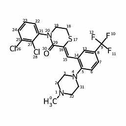 CN1CCN(c2ccc(C(F)(F)F)cc2C=C2SCCN(c3cccc(Cl)c3Cl)C2=O)CC1